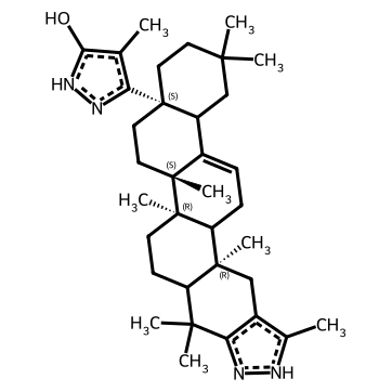 Cc1[nH]nc2c1C[C@@]1(C)C(CC[C@]3(C)C1CC=C1C4CC(C)(C)CC[C@]4(c4n[nH]c(O)c4C)CC[C@]13C)C2(C)C